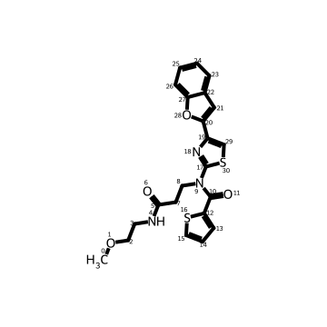 COCCNC(=O)CCN(C(=O)c1cccs1)c1nc(-c2cc3ccccc3o2)cs1